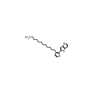 CCCCCCCCCCCCc1ccsc1-c1cc2sccc2s1